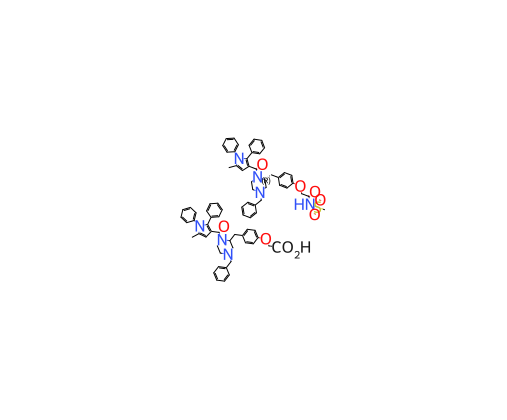 Cc1cc(C(=O)N2CCN(Cc3ccccc3)CC2Cc2ccc(OCC(=O)O)cc2)c(-c2ccccc2)n1-c1ccccc1.Cc1cc(C(=O)N2CCN(Cc3ccccc3)C[C@H]2Cc2ccc(OCC(=O)NS(C)(=O)=O)cc2)c(-c2ccccc2)n1-c1ccccc1